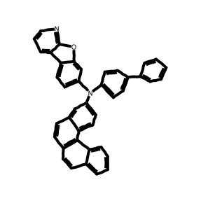 c1ccc(-c2ccc(N(c3ccc4c(ccc5ccc6ccccc6c54)c3)c3ccc4c(c3)oc3ncccc34)cc2)cc1